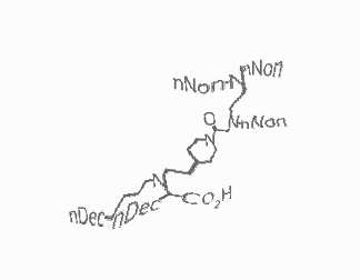 CCCCCCCCCCCCCCN(CCC1CCN(C(=O)CN(CCCCCCCCC)CCN(CCCCCCCCC)CCCCCCCCC)CC1)C(CCCCCCCCCC)C(=O)O